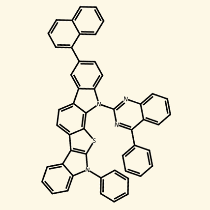 c1ccc(-c2nc(-n3c4ccc(-c5cccc6ccccc56)cc4c4ccc5c(sc6c5c5ccccc5n6-c5ccccc5)c43)nc3ccccc23)cc1